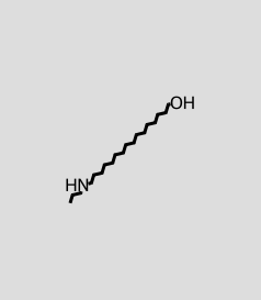 CCCNCCCCCCCCCCCCCCCCO